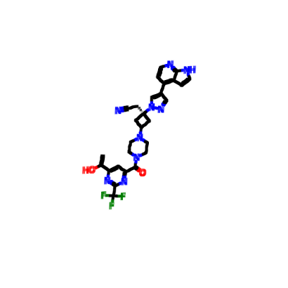 C=C(O)c1cc(C(=O)N2CCN([C@H]3C[C@@](CC#N)(n4cc(-c5ccnc6[nH]ccc56)cn4)C3)CC2)nc(C(F)(F)F)n1